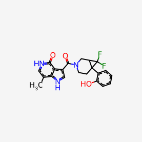 Cc1c[nH]c(=O)c2c(C(=O)N3CCC4(c5ccccc5O)C(C3)C4(F)F)c[nH]c12